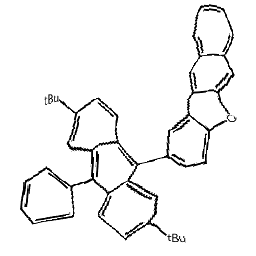 CC(C)(C)c1ccc2c(-c3ccc4oc5cc6ccccc6cc5c4c3)c3cc(C(C)(C)C)ccc3c(-c3ccccc3)c2c1